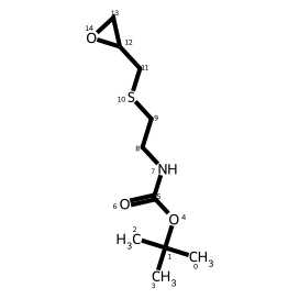 CC(C)(C)OC(=O)NCCSCC1CO1